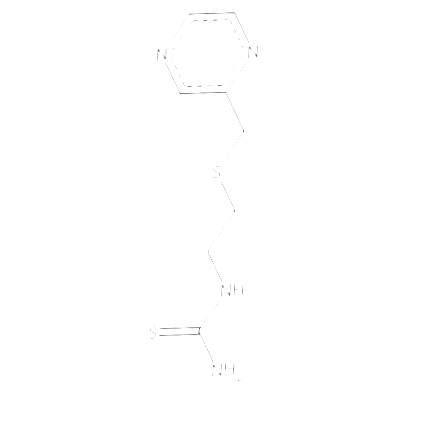 NC(=S)NCCSCc1cnccn1